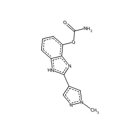 Cn1cc(-c2nc3c(OC(N)=O)cccc3[nH]2)cn1